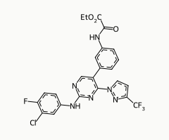 CCOC(=O)C(=O)Nc1cccc(-c2cnc(Nc3ccc(F)c(Cl)c3)nc2-n2ccc(C(F)(F)F)n2)c1